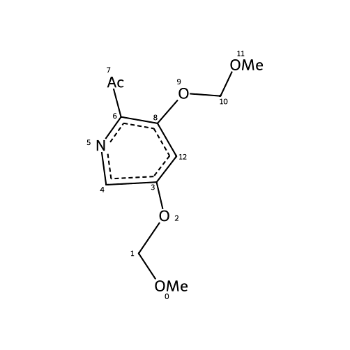 COCOc1cnc(C(C)=O)c(OCOC)c1